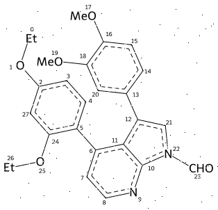 CCOc1ccc(-c2ccnc3c2c(-c2ccc(OC)c(OC)c2)cn3C=O)c(OCC)c1